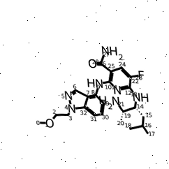 COCCn1ncc2c(Nc3nc(N[C@H](CC(C)C)[C@H](C)N)c(F)cc3C(N)=O)cccc21